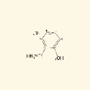 N=Cc1ccccc1O.[Tl]